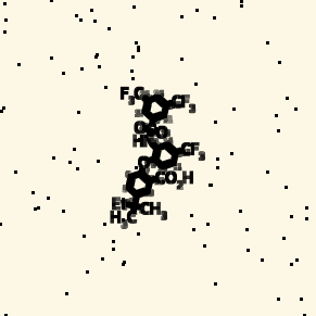 CCC(C)(C)c1ccc(Oc2ccc(C(F)(F)F)cc2NS(=O)(=O)c2cc(C(F)(F)F)cc(C(F)(F)F)c2)c(C(=O)O)c1